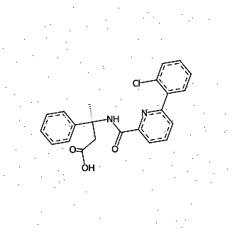 C[C@@](CC(=O)O)(NC(=O)c1cccc(-c2ccccc2Cl)n1)c1ccccc1